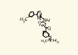 Cc1cccc(-c2csc(NC(=O)CNC(=O)c3cccc(SN(C)C)c3)n2)c1